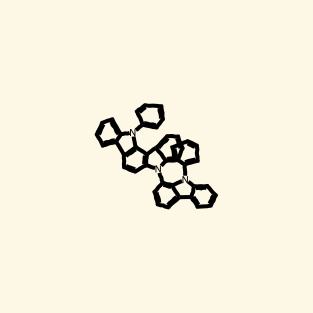 c1ccc(-n2c3ccccc3c3cccc(-n4c5ccccc5c5c4ccc4c6ccccc6n(-c6ccccc6)c45)c32)cc1